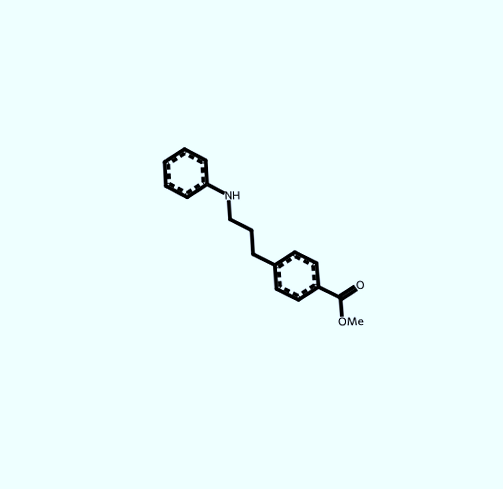 COC(=O)c1ccc(CCCNc2ccccc2)cc1